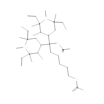 CCC1(C)CC(C(CCCCCNC(=O)O)(NC(=O)O)C2CC(C)(CC)N(C)C(C)(CC)C2C)C(C)C(C)(CC)N1C